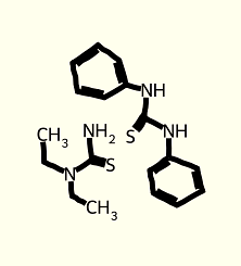 CCN(CC)C(N)=S.S=C(Nc1ccccc1)Nc1ccccc1